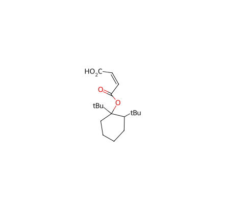 CC(C)(C)C1CCCCC1(OC(=O)/C=C\C(=O)O)C(C)(C)C